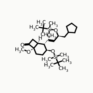 CO[C@@]12CC[C@H](O[Si](C)(C)C(C)(C)C)[C@@H](/C=C/[C@H](CC3CCCC3)O[Si](C)(C)C(C)(C)C)[C@@H]1CC2=O